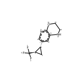 FC(F)(F)[C@@H]1C[C@H]1c1cnc2c(c1)NCCO2